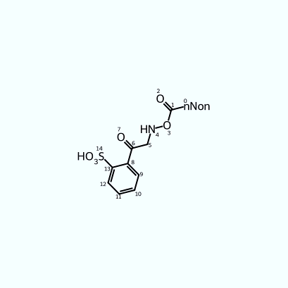 CCCCCCCCCC(=O)ONCC(=O)c1ccccc1S(=O)(=O)O